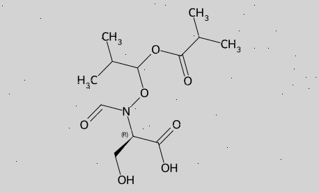 CC(C)C(=O)OC(ON(C=O)[C@H](CO)C(=O)O)C(C)C